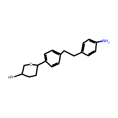 CCCC1CCC(c2ccc(CCc3ccc(N)cc3)cc2)CC1